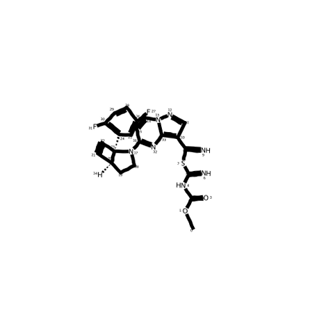 COC(=O)NC(=N)SC(=N)c1cnn2ccc(N3CC[C@H]4C#C[C@]43c3cc(F)ccc3F)nc12